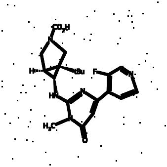 Cn1c(N[C@H]2[C@H]3CN(C(=O)O)C[C@@]32C(C)(C)C)nc(-c2ccncc2F)cc1=O